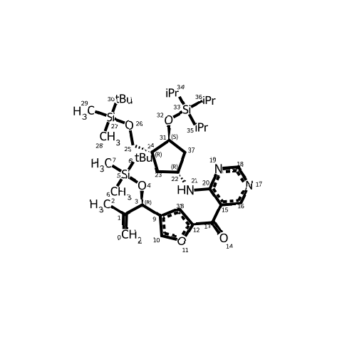 C=C(C)[C@@H](O[Si](C)(C)C(C)(C)C)c1coc(C(=O)c2cncnc2N[C@@H]2C[C@H](CO[Si](C)(C)C(C)(C)C)[C@@H](O[Si](C(C)C)(C(C)C)C(C)C)C2)c1